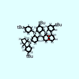 CC(C)(C)c1ccc(N2c3cc(N4c5ccc(C(C)(C)C)cc5C5(C)CCCC45C)ccc3B3c4ccccc4N(c4ccc(C(C)(C)C)cc4-c4ccccc4)c4cc(C(C)(C)C)cc2c43)cc1